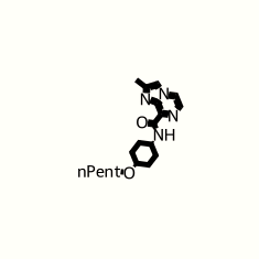 CCCCCO[C@H]1CC[C@H](NC(=O)c2nccn3cc(C)nc23)CC1